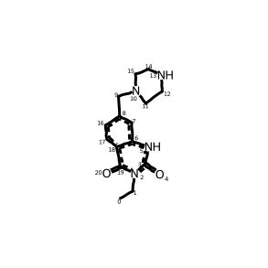 CCn1c(=O)[nH]c2cc(CN3CCNCC3)ccc2c1=O